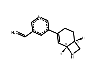 C=Cc1cncc(C2=C[C@H]3NC[C@H]3CC2)c1